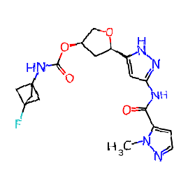 Cn1nccc1C(=O)Nc1cc([C@H]2C[C@@H](OC(=O)NC34CC(F)(C3)C4)CO2)[nH]n1